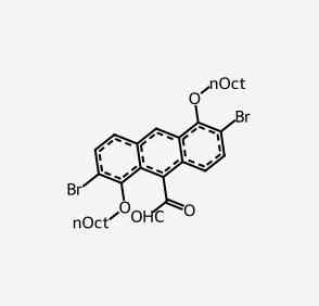 CCCCCCCCOc1c(Br)ccc2c(C(=O)C=O)c3c(OCCCCCCCC)c(Br)ccc3cc12